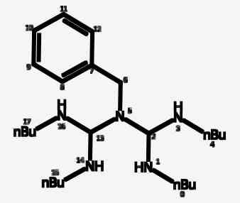 CCCCNC(NCCCC)N(Cc1ccccc1)C(NCCCC)NCCCC